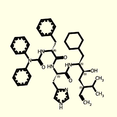 C=C[C@@H](C[C@H](O)[C@H](CC1CCCCC1)NC(=O)[C@H](Cc1c[nH]cn1)NC(=O)[C@@H](Cc1ccccc1)NC(=O)N(c1ccccc1)c1ccccc1)C(C)C